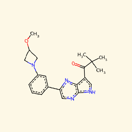 COC1CN(c2cccc(-c3cnc4[nH]cc(C(=O)C(C)(C)C)c4n3)c2)C1